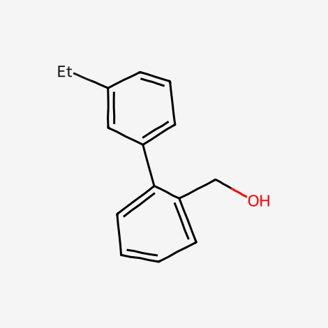 CCc1cccc(-c2ccccc2CO)c1